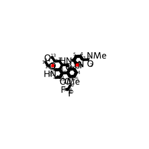 CNC(=O)c1ccc(NC(=O)C(CC2COCCO2)c2c(-c3cc(Cl)ccc3OCC(F)F)c(OC)c[nH]c2=O)cn1